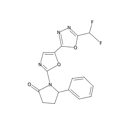 O=C1CCC(c2ccccc2)N1c1ncc(-c2nnc(C(F)F)o2)o1